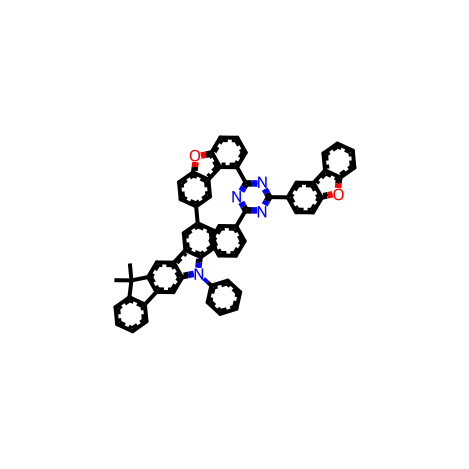 CC1(C)c2ccccc2-c2cc3c(cc21)c1cc(-c2ccc4oc5cccc(-c6nc(-c7ccccc7)nc(-c7ccc8oc9ccccc9c8c7)n6)c5c4c2)ccc1n3-c1ccccc1